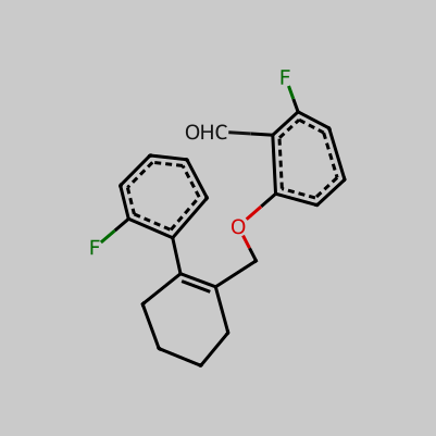 O=Cc1c(F)cccc1OCC1=C(c2ccccc2F)CCCC1